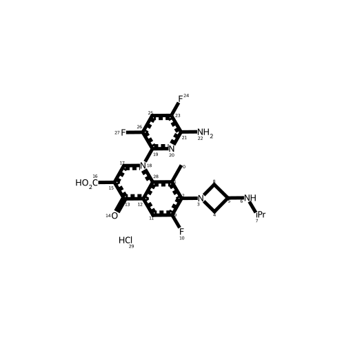 Cc1c(N2CC(NC(C)C)C2)c(F)cc2c(=O)c(C(=O)O)cn(-c3nc(N)c(F)cc3F)c12.Cl